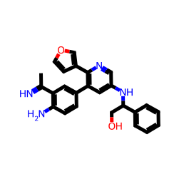 CC(=N)c1cc(-c2cc(NC(CO)c3ccccc3)cnc2-c2ccoc2)ccc1N